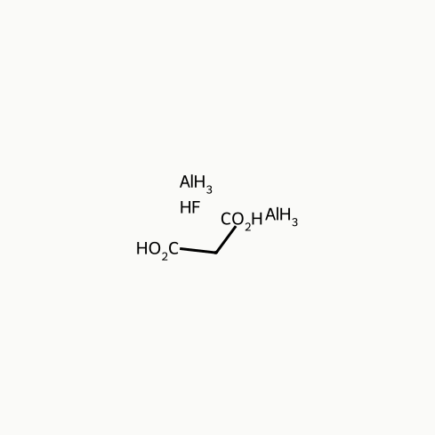 F.O=C(O)CC(=O)O.[AlH3].[AlH3]